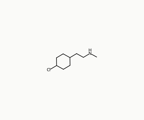 CNCCC1CCC(Cl)CC1